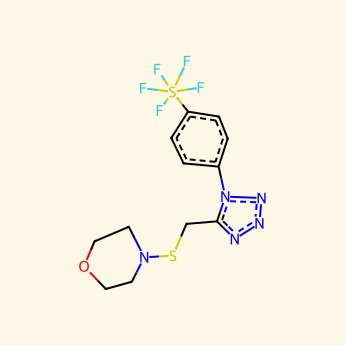 FS(F)(F)(F)(F)c1ccc(-n2nnnc2CSN2CCOCC2)cc1